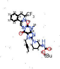 CC#CCn1c(N2CCCC(NC(=O)OC(C)(C)C)C2)nc2c1c(=O)n(CC1=NC(C(F)(F)F)Cc3ccccc31)c(=O)n2C